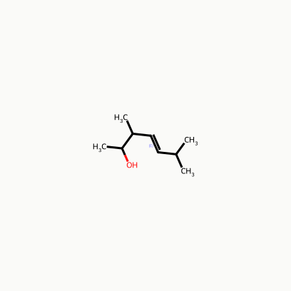 CC(C)/C=C/C(C)C(C)O